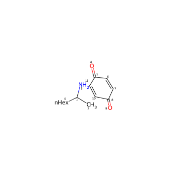 CCCCCCC(C)N.O=C1C=CC(=O)C=C1